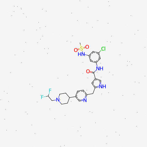 CS(=O)(=O)Nc1cc(Cl)cc(NC(=O)c2c[nH]c(Cc3ccc(C4CCN(CC(F)F)CC4)cn3)c2)c1